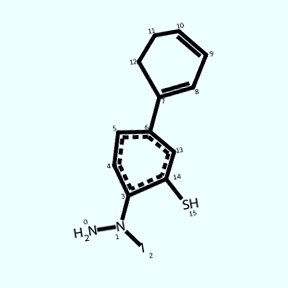 NN(I)c1ccc(C2=CC=CCC2)cc1S